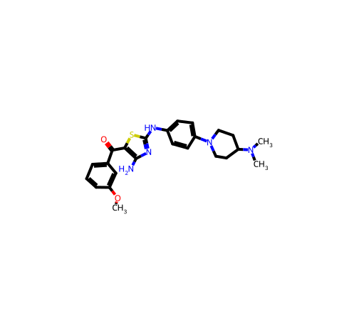 COc1cccc(C(=O)c2sc(Nc3ccc(N4CCC(N(C)C)CC4)cc3)nc2N)c1